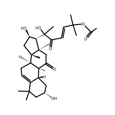 CC(=O)OC(C)(C)/C=C/C(=O)C(C)(O)[C@H]1[C@H](O)C[C@@]2(C)[C@@H]3CC=C4[C@@H](C[C@H](O)CC4(C)C)[C@]3(C)C(=O)C[C@]12C